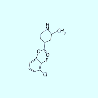 CC1CC(C(=O)Oc2cccc(Cl)c2F)CCN1